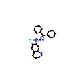 Fc1cc2cccnc2cc1NN=C(c1ccccc1)c1ccccc1